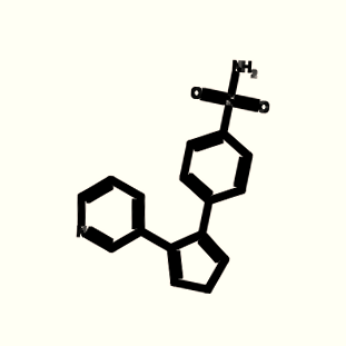 NS(=O)(=O)c1ccc(C2=CCC=C2c2cccnc2)cc1